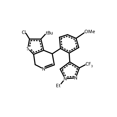 CCn1cc(-c2cc(OC)ccc2C2C=NCc3sc(Cl)c(C(C)(C)C)c32)c(C(F)(F)F)n1